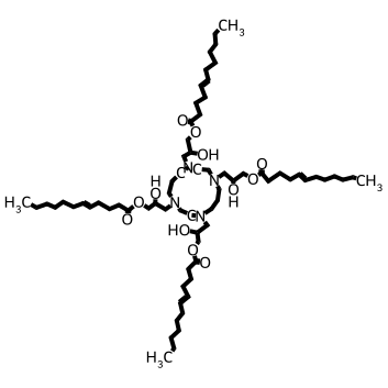 CCCCCC/C=C/CCCC(=O)OCC(O)CN1CCCN(CC(O)COC(=O)CCC/C=C/CCCCCC)CCN(CC(O)COC(=O)CCC/C=C/CCCCCC)CCCN(CC(O)COC(=O)CCC/C=C/CCCCCC)CC1